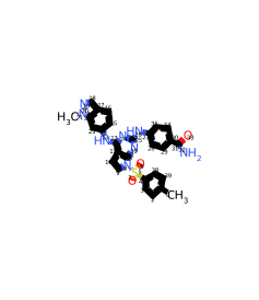 Cc1ccc(S(=O)(=O)n2ccc3c(Nc4ccc5cnn(C)c5c4)nc(Nc4ccc(C(N)=O)cc4)nc32)cc1